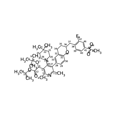 Cc1nc(C)c(C(OC(C)(C)C)C(=O)OC(C)C)c(N2CCC(C)(C)CC2)c1-c1ccc2c(c1)CCC(Cc1ccc(S(C)(=O)=O)cc1F)O2